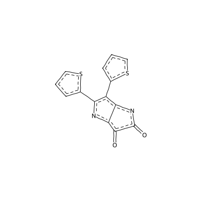 O=c1nc2c(-c3cccs3)c(-c3cccs3)nc-2c1=O